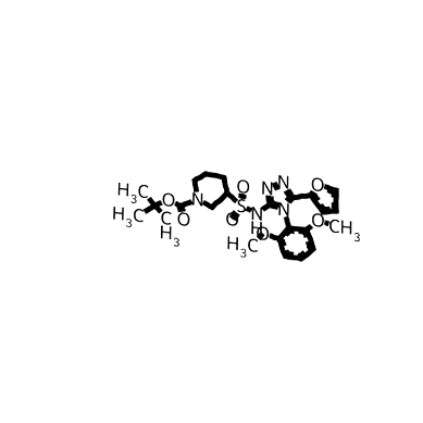 COc1cccc(OC)c1-n1c(NS(=O)(=O)C2CCCN(C(=O)OC(C)(C)C)C2)nnc1-c1ccco1